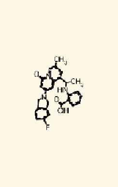 Cc1cc([C@@H](C)Nc2ccccc2C(=O)O)c2cc(N3Cc4ccc(F)cc4C3)cc(=O)n2c1